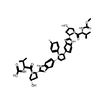 COC(=O)N[C@H](C(=O)N1C[C@@H](O)C[C@H]1c1nc2cc([C@H]3CC[C@H](c4ccc5[nH]c([C@@H]6C[C@H](O)CN6C(=O)[C@@H](NC(=O)O)C(C)C)nc5c4)N3c3ccc(F)cc3)ccc2[nH]1)C(C)C